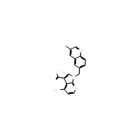 COC(=O)c1cn(Cc2ccc3ncc(Cl)cc3c2)c2nccc(C#N)c12